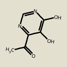 CC(=O)c1ncnc(O)c1O